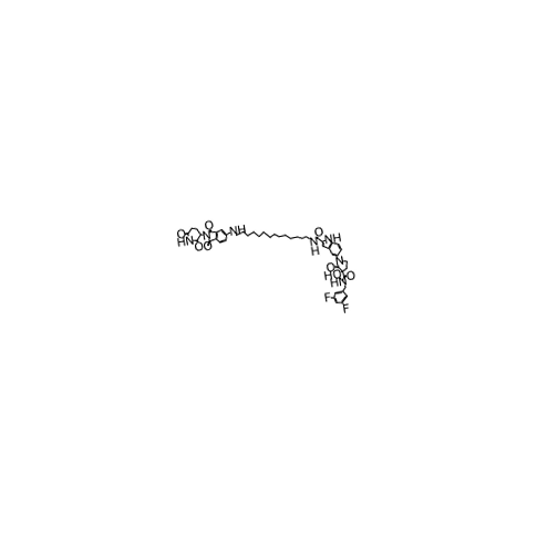 O=C1CCC(N2C(=O)c3ccc(NCCCCCCCCCCCCCCNC(=O)c4cc5cc(N6CCC(O)(C(=O)NCc7cc(F)cc(F)c7)C6=O)ccc5[nH]4)cc3C2=O)C(=O)N1